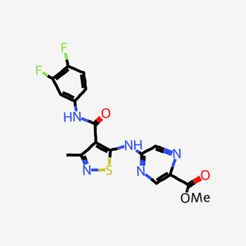 COC(=O)c1cnc(Nc2snc(C)c2C(=O)Nc2ccc(F)c(F)c2)cn1